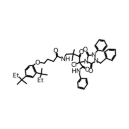 CCC(C)(C)c1ccc(OCCCC(=O)NCC(C)(C)C(=O)C(Cl)(C(=O)Nc2ccccc2)n2c(=O)n(Cc3ccccc3)n(-c3ccccc3)c2=O)c(C(C)(C)CC)c1